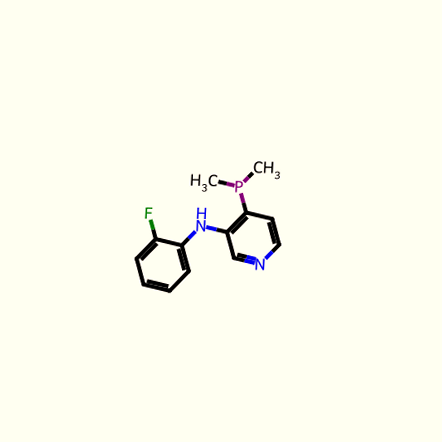 CP(C)c1ccncc1Nc1ccccc1F